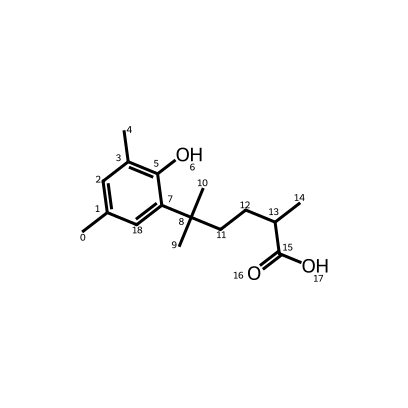 Cc1cc(C)c(O)c(C(C)(C)CCC(C)C(=O)O)c1